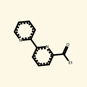 CCC(=O)c1cccc(-c2ccccn2)n1